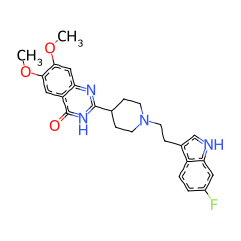 COc1cc2nc(C3CCN(CCc4c[nH]c5cc(F)ccc45)CC3)[nH]c(=O)c2cc1OC